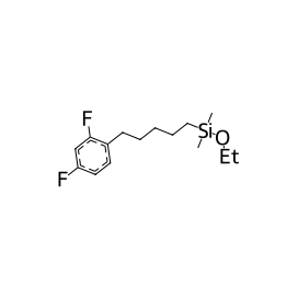 CCO[Si](C)(C)CCCCCc1ccc(F)cc1F